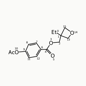 CCC1(COC(=O)c2ccc(OC(C)=O)cc2)COC1